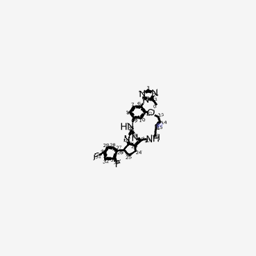 Cc1ncnn1-c1ccc2cc1OC/C=C/CNc1nc(nc3c1CCC3c1ccc(F)cc1F)N2